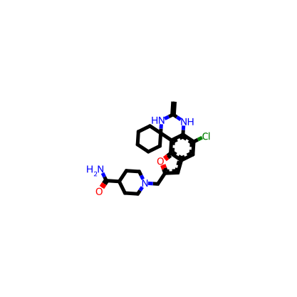 C=C1Nc2c(Cl)cc3cc(CN4CCC(C(N)=O)CC4)oc3c2C2(CCCCC2)N1